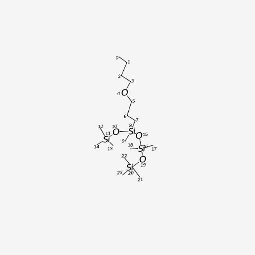 CCCCOCCC[Si](C)(O[Si](C)(C)C)O[Si](C)(C)O[Si](C)(C)C